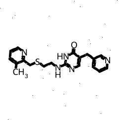 Cc1cccnc1CSCCNc1ncc(Cc2cccnc2)c(=O)[nH]1